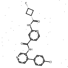 O=C(Nc1cnccc1-c1ccc(Cl)cc1)c1ccnc(NC(=O)[C@H]2C[C@@H](F)C2)c1